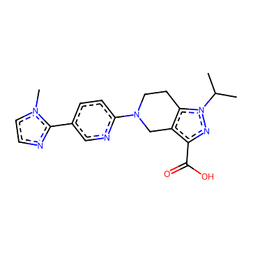 CC(C)n1nc(C(=O)O)c2c1CCN(c1ccc(-c3nccn3C)cn1)C2